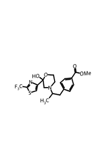 COC(=O)c1ccc(CC(C)N2CCOC(O)(c3csc(C(F)(F)F)n3)C2)cc1